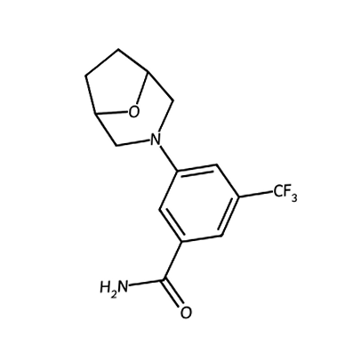 NC(=O)c1cc(N2CC3CCC(C2)O3)cc(C(F)(F)F)c1